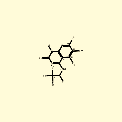 CC(Nc1nc(=O)n(C)c2cc(F)c(F)c(F)c12)C(F)(F)F